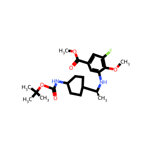 COC(=O)c1cc(F)c(OC)c(N[C@@H](C)C2CCC(NC(=O)OC(C)(C)C)CC2)c1